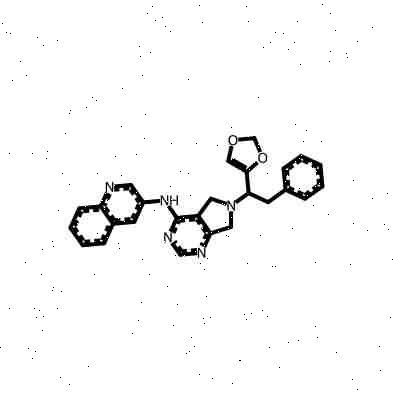 C1=C(C(Cc2ccccc2)N2Cc3ncnc(Nc4cnc5ccccc5c4)c3C2)OCO1